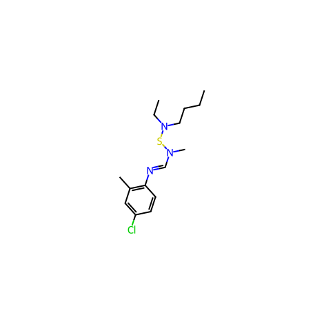 CCCCN(CC)SN(C)C=Nc1ccc(Cl)cc1C